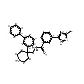 Cc1nc(-c2cccc(C(=O)NCC3(c4cccc(-c5ccccc5)c4)CCOCC3)c2)no1